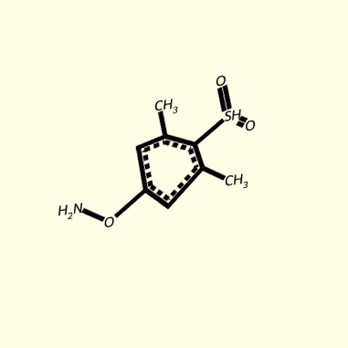 Cc1cc(ON)cc(C)c1[SH](=O)=O